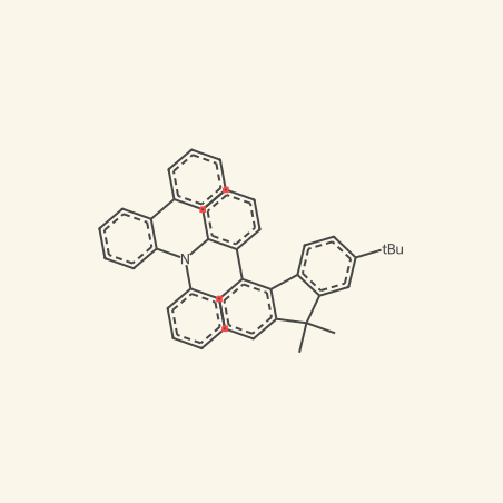 CC(C)(C)c1ccc2c(c1)C(C)(C)c1cccc(-c3ccccc3N(c3ccccc3)c3ccccc3-c3ccccc3)c1-2